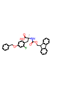 C[C@@](Cc1ccc(OCc2ccccc2)cc1F)(NC(=O)OCC1c2ccccc2-c2ccccc21)C(=O)O